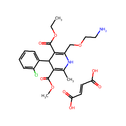 CCOC(=O)C1=C(COCCN)NC(C)=C(C(=O)OC)C1c1ccccc1Cl.O=C(O)C=CC(=O)O